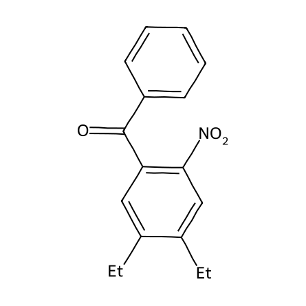 CCc1cc(C(=O)c2ccccc2)c([N+](=O)[O-])cc1CC